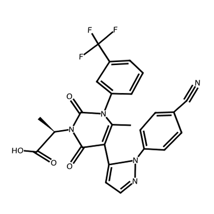 Cc1c(-c2ccnn2-c2ccc(C#N)cc2)c(=O)n([C@H](C)C(=O)O)c(=O)n1-c1cccc(C(F)(F)F)c1